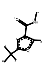 CNC(=O)c1cc(C(C)(C)C)oc1C